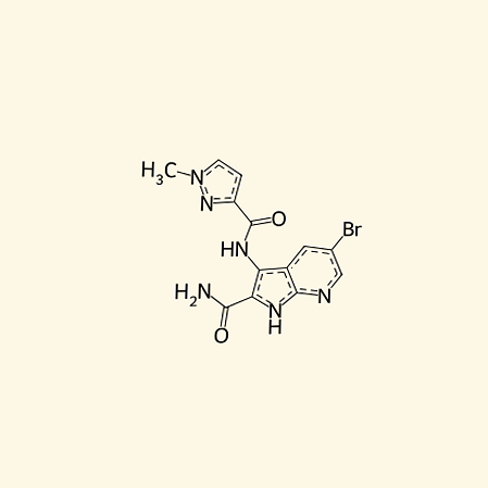 Cn1ccc(C(=O)Nc2c(C(N)=O)[nH]c3ncc(Br)cc23)n1